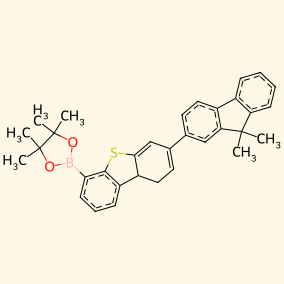 CC1(C)c2ccccc2-c2ccc(C3=CCC4C(=C3)Sc3c(B5OC(C)(C)C(C)(C)O5)cccc34)cc21